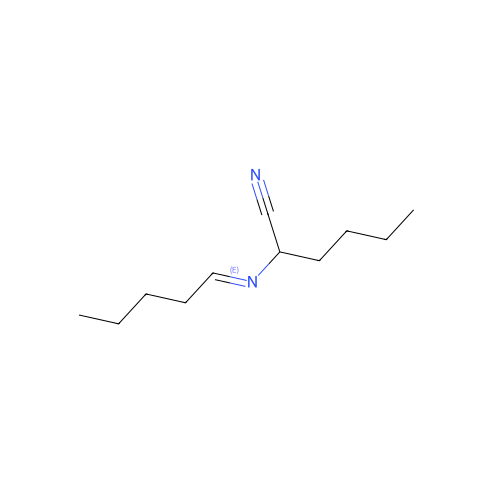 CCCC/C=N/C(C#N)CCCC